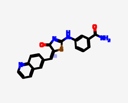 NC(=O)c1cccc(NC2=NC(=O)/C(=C\c3ccc4ncccc4c3)S2)c1